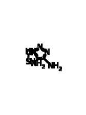 N#CS.Nc1nn[nH]c1N